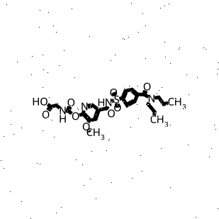 CCCN(CCC)C(=O)c1ccc(S(=O)(=O)NC(=O)c2cnc(OC(=O)NCC(=O)O)c(OC)c2)cc1